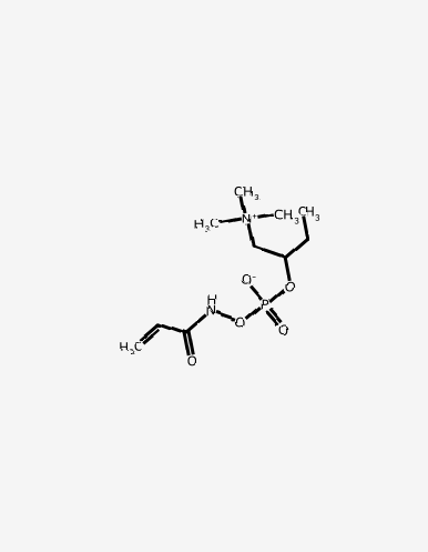 C=CC(=O)NOP(=O)([O-])OC(CC)C[N+](C)(C)C